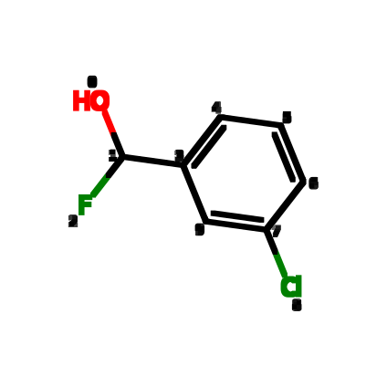 OC(F)c1cccc(Cl)c1